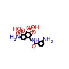 Nc1cccc(C(=O)NCc2cc(S(=O)(=O)O)cc3c(S(=O)(=O)O)c(N)ccc23)c1